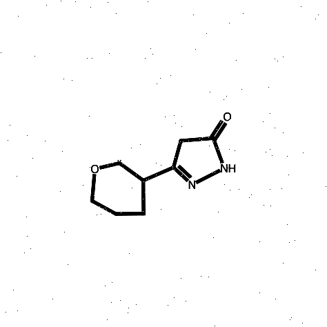 O=C1CC(C2[C]OCCC2)=NN1